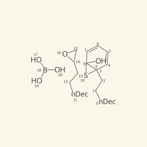 CCCCCCCCCCCCC12C=CC=CC1(O)S2.CCCCCCCCCCCCC1CO1.OB(O)O